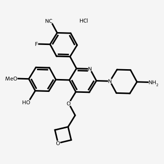 COc1ccc(-c2c(OCC3COC3)cc(N3CCC(N)CC3)nc2-c2ccc(C#N)c(F)c2)cc1O.Cl